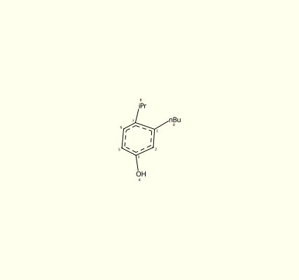 CCCCc1cc(O)ccc1C(C)C